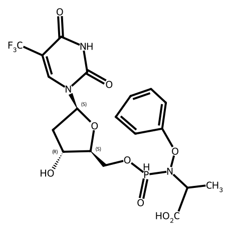 CC(C(=O)O)N(Oc1ccccc1)[PH](=O)OC[C@@H]1O[C@H](n2cc(C(F)(F)F)c(=O)[nH]c2=O)C[C@H]1O